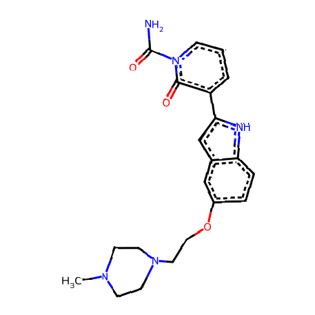 CN1CCN(CCOc2ccc3[nH]c(-c4c[c]cn(C(N)=O)c4=O)cc3c2)CC1